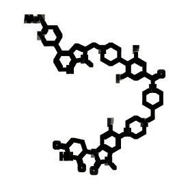 CNc1ccc(-c2ccnc3c2cc(CN2CCC(c4c(F)cc(C(=O)N5CCC(CN6CCN(c7cc8c(cc7F)n(C7CCC(=O)NC7=O)c(=O)n8C)CC6)CC5)cc4F)CC2)n3C)cn1